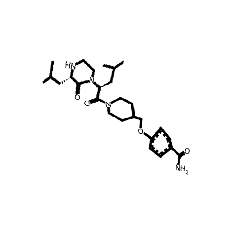 CC(C)C[C@@H]1NCCN([C@@H](CC(C)C)C(=O)N2CCC(COc3ccc(C(N)=O)cc3)CC2)C1=O